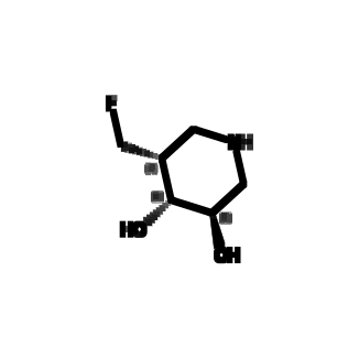 O[C@@H]1[C@H](CF)CNC[C@H]1O